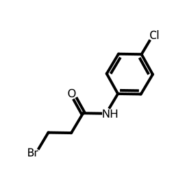 O=C(CCBr)Nc1ccc(Cl)cc1